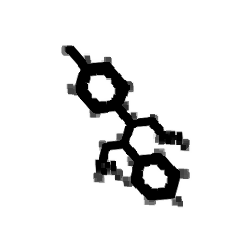 Cc1ccc(C(CN)C(CN)c2ccccc2)cc1